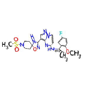 COc1ccc(F)cc1[C@@H](C)Nc1ccn2ncc(C3=NOC4(CCN(S(C)(=O)=O)CC4)N3)c2n1